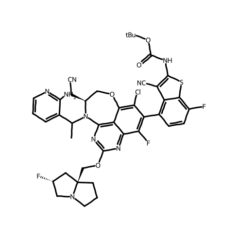 CC(c1cccnc1N)N1c2nc(OC[C@@]34CCCN3C[C@H](F)C4)nc3c(F)c(-c4ccc(F)c5sc(NC(=O)OC(C)(C)C)c(C#N)c45)c(Cl)c(c23)OC[C@@H]1CC#N